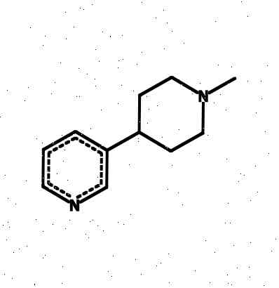 CN1CCC(c2cccnc2)CC1